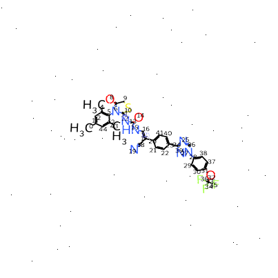 Cc1cc(C)c(N2C(=O)CS/C2=N\C(=O)N/C=C(\C#N)c2ccc(-c3ncn(-c4ccc(OC(F)(F)F)cc4)n3)cc2)c(C)c1